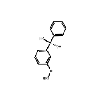 CC(C)(C)Oc1cccc([C@@](O)(S)c2ccccc2)c1